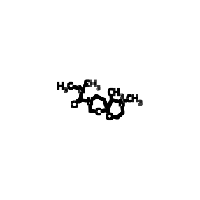 CC1N(C)CCOC12CCN(C(=O)N(C)C)CC2